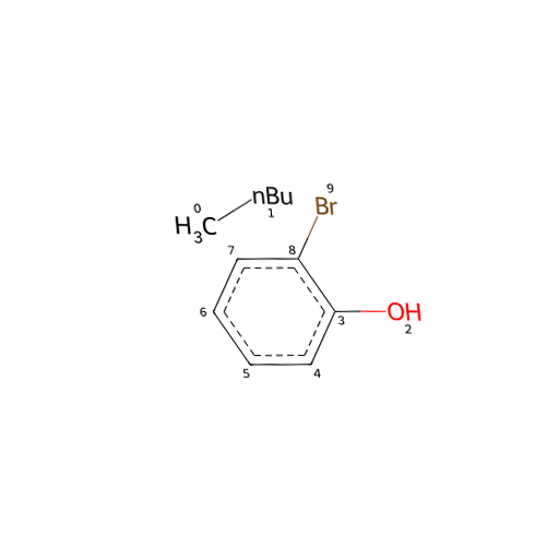 CCCCC.Oc1ccccc1Br